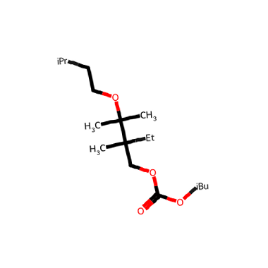 CCC(C)OC(=O)OCC(C)(CC)C(C)(C)OCCC(C)C